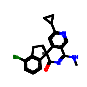 CNC1=NC(=O)[C@@]2(CCc3c(Br)cccc32)c2cc(C3CC3)ncc21